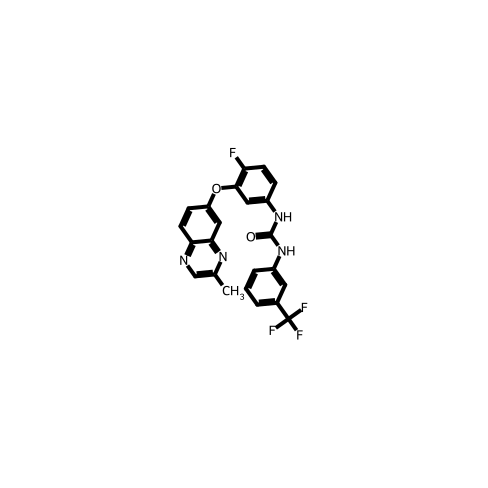 Cc1cnc2ccc(Oc3cc(NC(=O)Nc4cccc(C(F)(F)F)c4)ccc3F)cc2n1